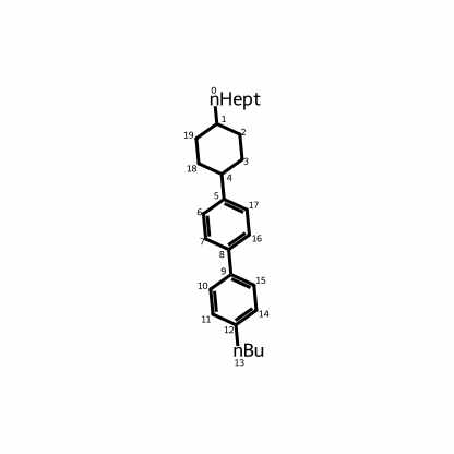 CCCCCCCC1CCC(c2ccc(-c3ccc(CCCC)cc3)cc2)CC1